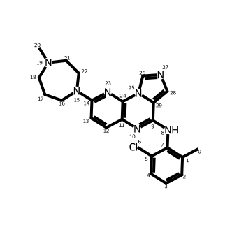 Cc1cccc(Cl)c1Nc1nc2ccc(N3CCCN(C)CC3)nc2n2cncc12